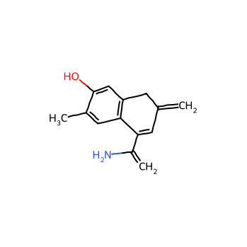 C=C1C=C(C(=C)N)c2cc(C)c(O)cc2C1